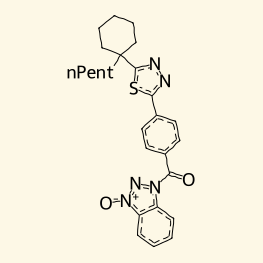 CCCCCC1(c2nnc(-c3ccc(C(=O)n4n[n+]([O-])c5ccccc54)cc3)s2)CCCCC1